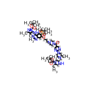 Cc1nn(C(=O)OC(C)(C)C)c(Nc2ncnc3cc(OCCCN4CCN(C(=O)c5cnc(N6CCN(C[C@H]7CN(C(=O)OC(C)(C)C)[C@H](C)CN7)[C@H](C)C6)nc5)CC4)c(S(=O)(=O)C(C)(C)C)cc23)c1C